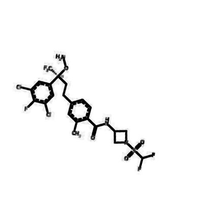 Cc1cc(CC[C@](ON)(c2cc(Cl)c(F)c(Cl)c2)C(F)(F)F)ccc1C(=O)NC1CN(S(=O)(=O)C(F)F)C1